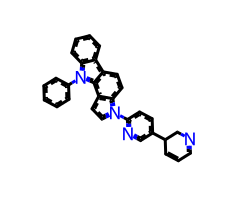 C1=CC(c2ccc(-n3ccc4c3ccc3c5ccccc5n(-c5ccccc5)c34)nc2)CN=C1